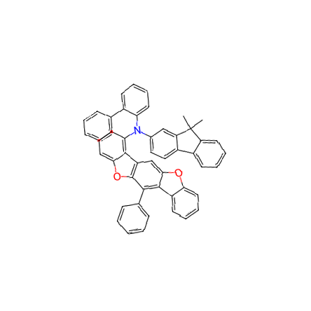 CC1(C)c2ccccc2-c2ccc(N(c3ccccc3-c3ccccc3)c3cccc4oc5c(-c6ccccc6)c6c(cc5c34)oc3ccccc36)cc21